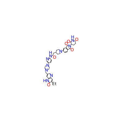 CCc1cc2ncc(CN3CCN(c4ccc(NC(=O)CC5CCN(c6ccc7c(c6)C(=O)N(C6CCC(=O)NC6=O)C7=O)CC5)nc4)CC3)cc2[nH]c1=O